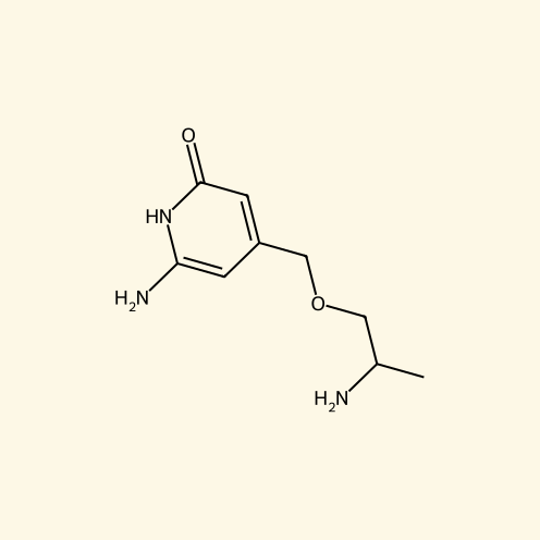 CC(N)COCc1cc(N)[nH]c(=O)c1